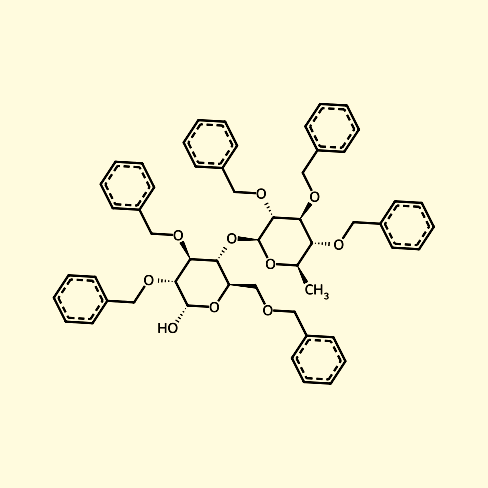 C[C@H]1O[C@@H](O[C@H]2[C@H](OCc3ccccc3)[C@@H](OCc3ccccc3)[C@@H](O)O[C@@H]2COCc2ccccc2)[C@H](OCc2ccccc2)[C@@H](OCc2ccccc2)[C@@H]1OCc1ccccc1